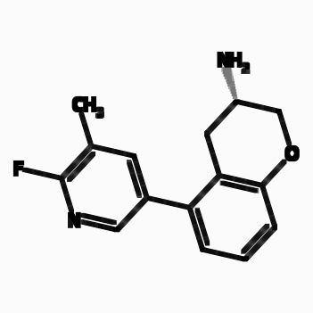 Cc1cc(-c2cccc3c2C[C@H](N)CO3)cnc1F